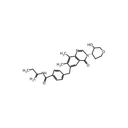 C=C(CC)NC(=O)c1ccc(Cc2cc3c(=O)n([C@H]4CCOC[C@@H]4O)cnc3c(C)c2C)cc1